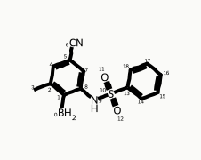 Bc1c(C)cc(C#N)cc1NS(=O)(=O)c1ccccc1